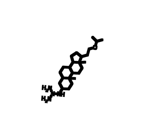 CC(C)OCCC1CCC2C3CCC4CC(NN(N)N)CCC4(C)C3CCC12C